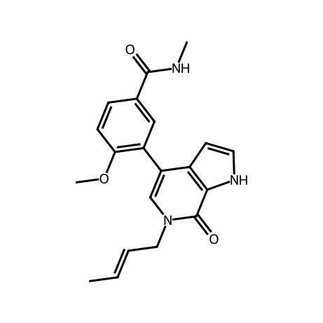 C/C=C/Cn1cc(-c2cc(C(=O)NC)ccc2OC)c2cc[nH]c2c1=O